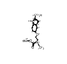 CN(CCOc1ccc2[nH]c(C(=O)O)cc2c1)C(=O)OC(C)(C)C